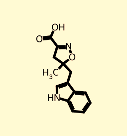 CC1(Cc2c[nH]c3ccccc23)CC(C(=O)O)=NO1